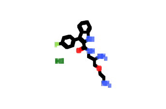 Cl.NCCOC[C@H](N)CNC(=O)c1[nH]c2ccccc2c1-c1ccc(F)cc1